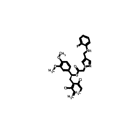 C=C/C(Cl)=C(C[C@H](OC(=O)Cn1cc(CNc2ccccc2F)cn1)c1ccc(OC)c(OC)c1)\C(Cl)=C/C